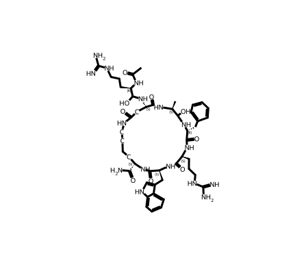 CC(=O)N[C@H](CCCNC(=N)N)C(O)N[C@H]1CC(=O)NCCCC[C@@H](C(N)=O)NC(=O)[C@H](Cc2c[nH]c3ccccc23)NC(=O)[C@H](CCCNC(=N)N)NC(=O)[C@@H](Cc2ccccc2)NC(O)[C@H](C)NC1=O